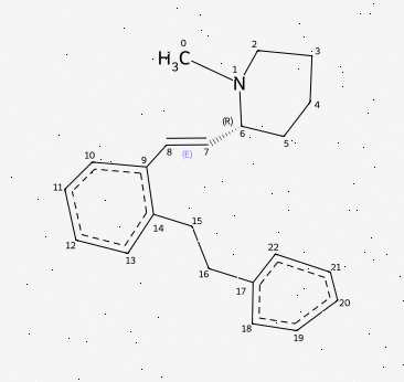 CN1CCCC[C@@H]1/C=C/c1ccccc1CCc1ccccc1